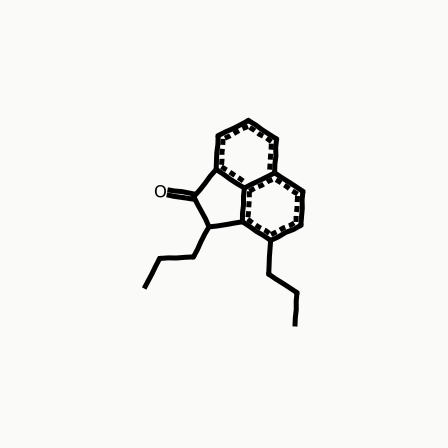 CCCc1ccc2cccc3c2c1C(CCC)C3=O